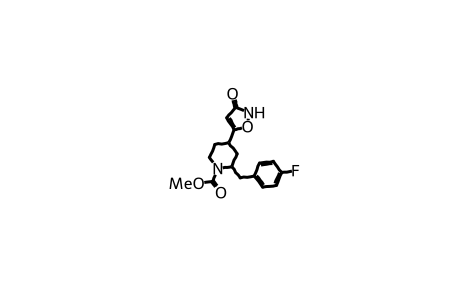 COC(=O)N1CCC(c2cc(=O)[nH]o2)CC1Cc1ccc(F)cc1